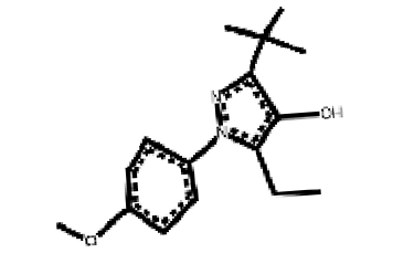 CCc1c(O)c(C(C)(C)C)nn1-c1ccc(OC)cc1